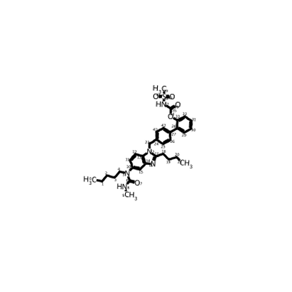 CCCCCN(C(=O)NC)c1ccc2c(c1)nc(CCCC)n2Cc1ccc(-c2ccccc2OC(=O)NS(C)(=O)=O)cc1